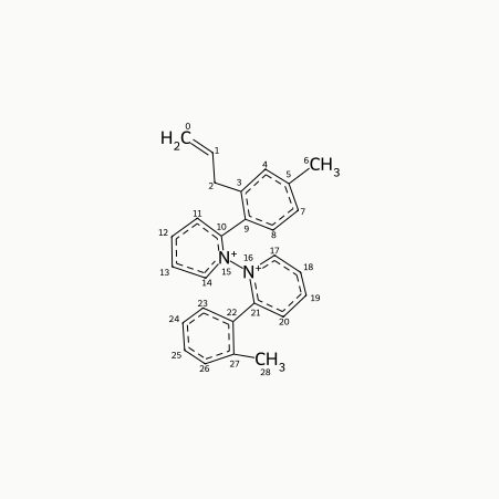 C=CCc1cc(C)ccc1-c1cccc[n+]1-[n+]1ccccc1-c1ccccc1C